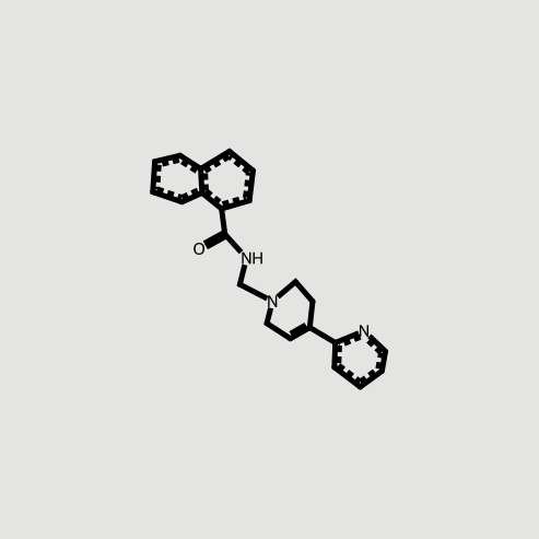 O=C(NCN1CC=C(c2ccccn2)CC1)c1cccc2ccccc12